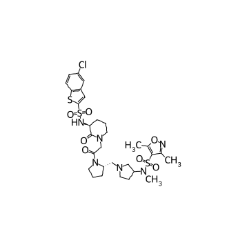 Cc1noc(C)c1S(=O)(=O)N(C)C1CCN(C[C@@H]2CCCN2C(=O)CN2CCC[C@H](NS(=O)(=O)c3cc4cc(Cl)ccc4s3)C2=O)C1